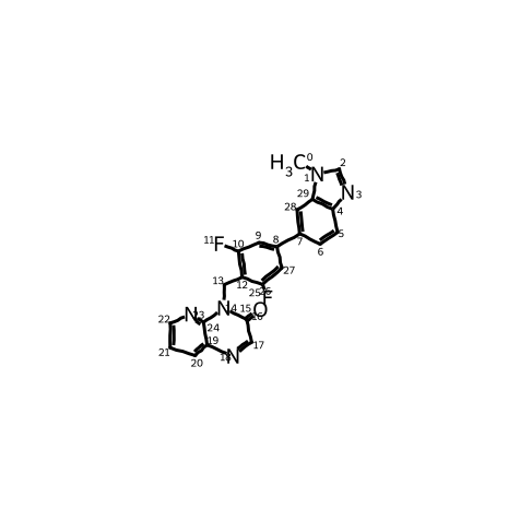 Cn1cnc2ccc(-c3cc(F)c(Cn4c(=O)cnc5cccnc54)c(F)c3)cc21